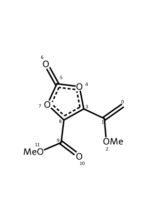 C=C(OC)c1oc(=O)oc1C(=O)OC